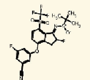 CC(C)(C)[S+]([O-])/N=C1/c2c(S(=O)(=O)C(F)(F)F)ccc(Oc3cc(F)cc(C#N)c3)c2CC1F